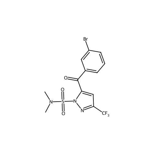 CN(C)S(=O)(=O)n1nc(C(F)(F)F)cc1C(=O)c1cccc(Br)c1